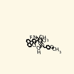 COc1ccc(CN2CC3C(=O)N(C)c4cnc5c(F)c(-c6cccc7cccc(Cl)c67)ncc5c4N3CC2CO)cc1